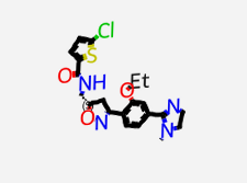 CCOc1cc(C2=NCCN2C)ccc1C1=NO[C@H](CNC(=O)c2ccc(Cl)s2)C1